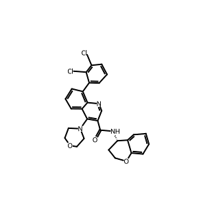 O=C(N[C@H]1CCOc2ccccc21)c1cnc2c(-c3cccc(Cl)c3Cl)cccc2c1N1CCOCC1